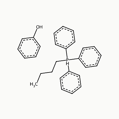 CCCC[PH](c1ccccc1)(c1ccccc1)c1ccccc1.Oc1ccccc1